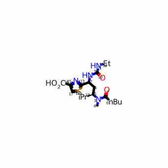 CCCCC(=O)N(C)[C@H](CC(NC(=O)NCC)c1nc(C(=O)O)cs1)C(C)C